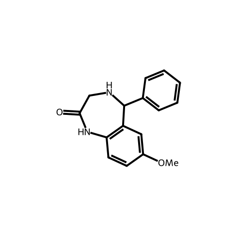 COc1ccc2c(c1)C(c1ccccc1)NCC(=O)N2